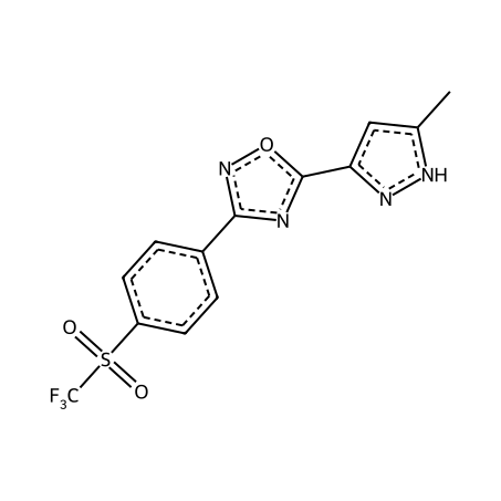 Cc1cc(-c2nc(-c3ccc(S(=O)(=O)C(F)(F)F)cc3)no2)n[nH]1